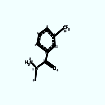 CN(N)C(=O)c1cccc(C(F)(F)F)c1